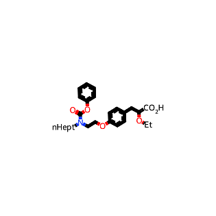 CCCCCCCN(CCOc1ccc(CC(OCC)C(=O)O)cc1)C(=O)Oc1ccccc1